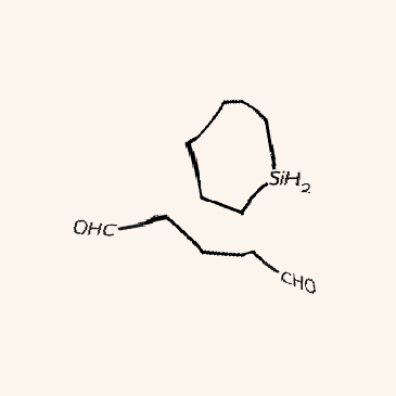 C1CC[SiH2]CC1.O=CCCCC=O